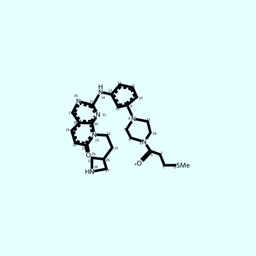 CSCCC(=O)N1CCN(c2cccc(Nc3ncc4ccc(=O)n(CCC5CNC5)c4n3)c2)CC1